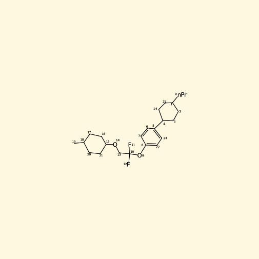 CCCC1CCC(c2ccc(OC(F)(F)COC3CCC(C)CC3)cc2)CC1